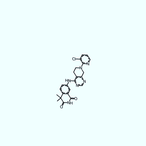 CC1(C)C(=O)NC(=O)c2cc(Nc3ncnc4c3CCN(c3ncccc3Cl)C4)ccc21